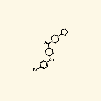 O=C(C1CCC(Nc2ccc(C(F)(F)F)cc2)CC1)N1CCN(C2CCCC2)CC1